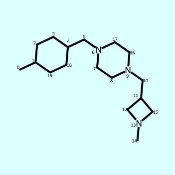 CC1CCC(CN2CCN(CC3CN(C)C3)CC2)CC1